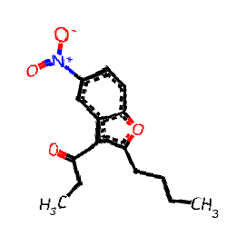 CCCCc1oc2ccc([N+](=O)[O-])cc2c1C(=O)CC